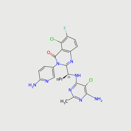 CCC[C@H](Nc1nc(C)nc(N)c1Cl)c1nc2ccc(F)c(Cl)c2c(=O)n1-c1ccc(N)nc1